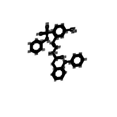 O=C(Cc1ccccc1Oc1ccccc1)NN=Cc1cc(C(F)(F)F)ccc1S(=O)(=O)Oc1ccccc1